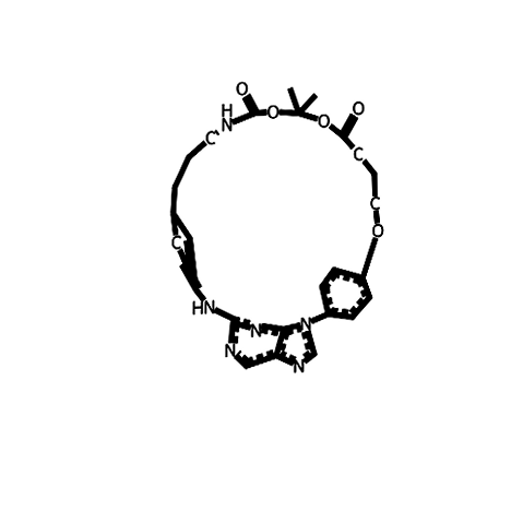 CC1(C)OC(=O)CCCOc2ccc(cc2)-n2cnc3cnc(nc32)NC2=CCC(C=C2)CCCNC(=O)O1